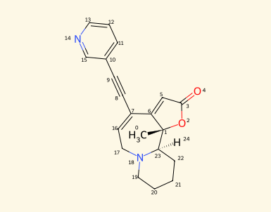 C[C@]12OC(=O)C=C1C(C#Cc1cccnc1)=CCN1CCCC[C@@H]12